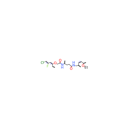 C=C/C(=C\C(F)=C\Cl)OCC(=O)NC(=C)CCC(=O)NCC(=C)/C=C\C(=C)OCC